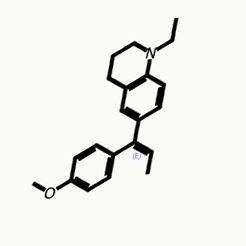 C/C=C(\c1ccc(OC)cc1)c1ccc2c(c1)CCCN2CC